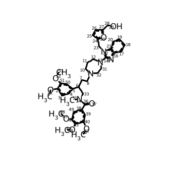 COc1ccc(C(CCN2CCCN(c3nc4ccccc4n3Cc3ccc(CO)o3)CC2)CN(C)C(=O)c2cc(OC)c(OC)c(OC)c2)cc1OC